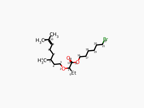 CCC(OCCC(C)CCC=C(C)C)C(=O)OCCCCCCBr